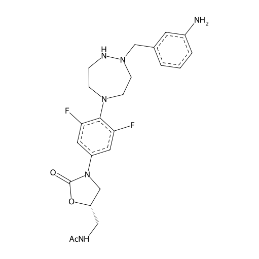 CC(=O)NC[C@H]1CN(c2cc(F)c(N3CCNN(Cc4cccc(N)c4)CC3)c(F)c2)C(=O)O1